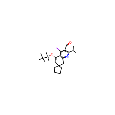 CC(C)c1nc2c(c(I)c1C=O)[C@@H](O[Si](C)(C)C(C)(C)C)CC1(CCCC1)C2